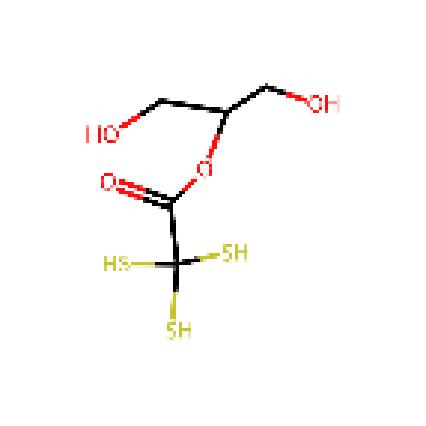 O=C(OC(CO)CO)C(S)(S)S